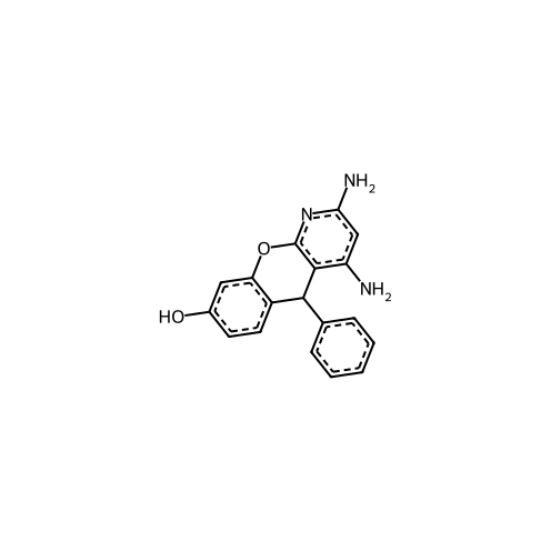 Nc1cc(N)c2c(n1)Oc1cc(O)ccc1C2c1ccccc1